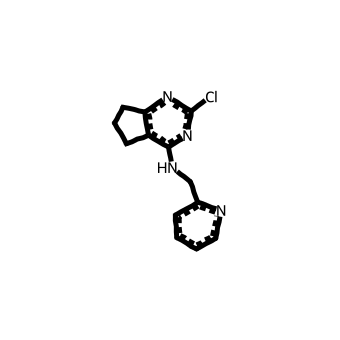 Clc1nc2c(c(NCc3ccccn3)n1)CCC2